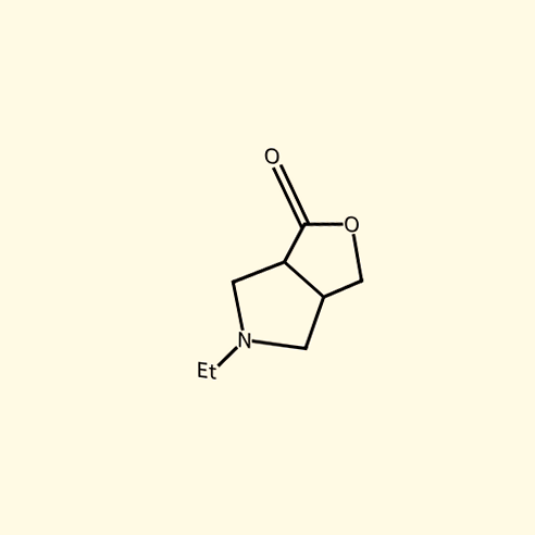 CCN1CC2COC(=O)C2C1